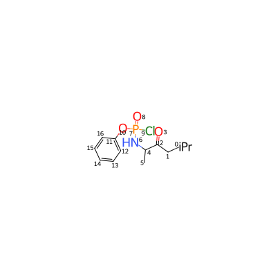 CC(C)CC(=O)C(C)NP(=O)(Cl)Oc1ccccc1